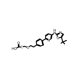 CC(C)(C)c1cnc(Nc2ccc(-c3ccc(CCOCCC(=O)O)cc3)nc2)o1